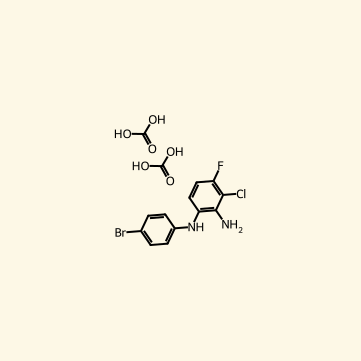 Nc1c(Nc2ccc(Br)cc2)ccc(F)c1Cl.O=C(O)O.O=C(O)O